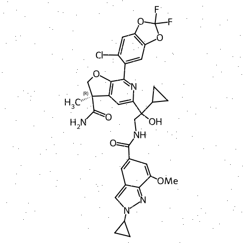 COc1cc(C(=O)NCC(O)(c2cc3c(c(-c4cc5c(cc4Cl)OC(F)(F)O5)n2)OC[C@]3(C)C(N)=O)C2CC2)cc2cn(C3CC3)nc12